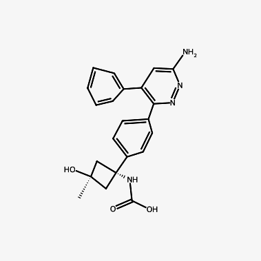 C[C@]1(O)C[C@@](NC(=O)O)(c2ccc(-c3nnc(N)cc3-c3ccccc3)cc2)C1